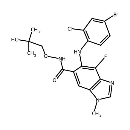 Cn1cnc2c(F)c(Nc3ccc(Br)cc3Cl)c(C(=O)NOCC(C)(C)O)cc21